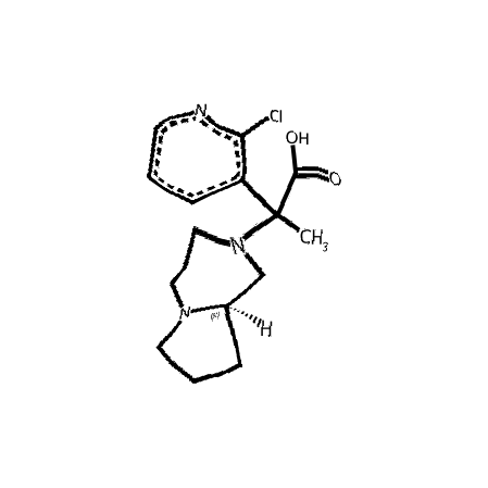 CC(C(=O)O)(c1cccnc1Cl)N1CCN2CCC[C@@H]2C1